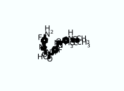 CC(C)(C)OC(=O)Nc1ccc(-c2nc(-c3ccc(CC(NC(=O)c4cnn(-c5ccc(CN)c(F)c5)c4)C(=O)O)cc3F)no2)cc1